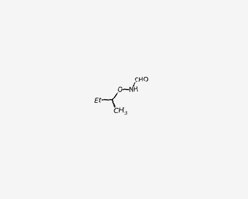 CCC(C)ONC=O